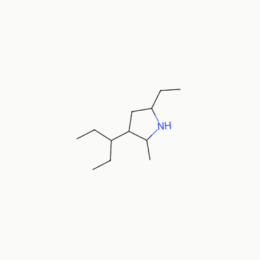 CCC1CC(C(CC)CC)C(C)N1